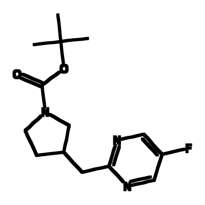 CC(C)(C)OC(=O)N1CCC(Cc2ncc(F)cn2)C1